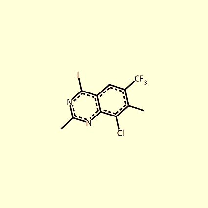 Cc1nc(I)c2cc(C(F)(F)F)c(C)c(Cl)c2n1